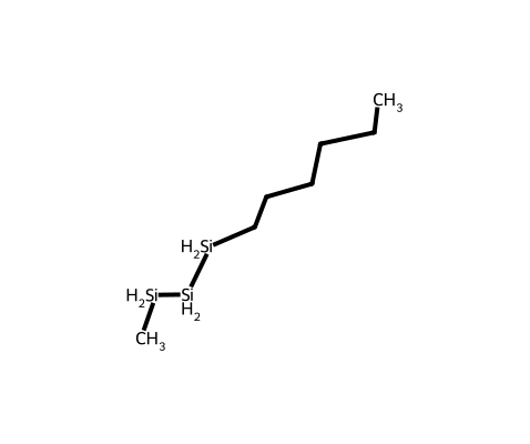 CCCCCC[SiH2][SiH2][SiH2]C